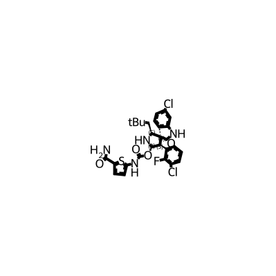 CC(C)(C)C[C@@H]1N[C@H](OC(=O)Nc2ccc(C(N)=O)s2)[C@H](c2cccc(Cl)c2F)[C@]12C(=O)Nc1cc(Cl)ccc12